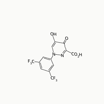 O=C(O)c1nn(-c2cc(C(F)(F)F)cc(C(F)(F)F)c2)cc(O)c1=O